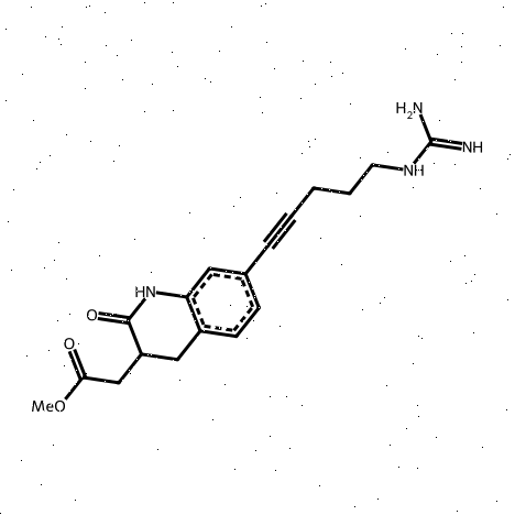 COC(=O)CC1Cc2ccc(C#CCCCNC(=N)N)cc2NC1=O